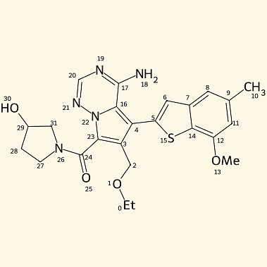 CCOCc1c(-c2cc3cc(C)cc(OC)c3s2)c2c(N)ncnn2c1C(=O)N1CCC(O)C1